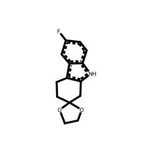 Fc1ccc2[nH]c3c(c2c1)CCC1(C3)OCCO1